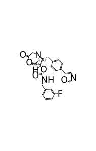 O=C1CN2C[C@H](O1)[C@@H](OC(=O)NCc1cccc(F)c1)[C@H]2Cc1ccc(-c2cnco2)cc1